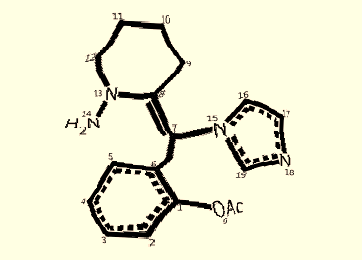 CC(=O)Oc1ccccc1C(=C1CCCCN1N)n1ccnc1